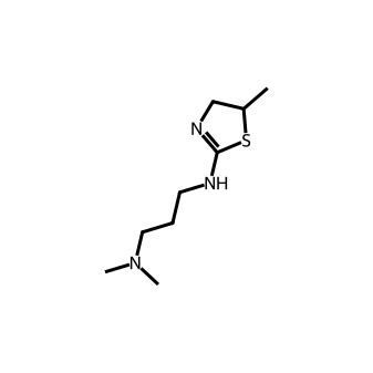 CC1CN=C(NCCCN(C)C)S1